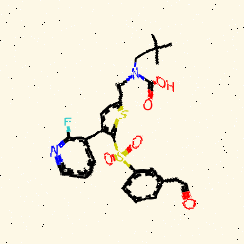 CC(C)(C)CN(Cc1cc(-c2cccnc2F)c(S(=O)(=O)c2cccc(C=O)c2)s1)C(=O)O